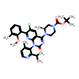 COc1c(C)cccc1-c1nc2c(cc1Cl)c(N1CCN(C(=O)OC(C)(C)C)C[C@@H]1C)nc(=O)n2-c1c(C)ccnc1C(C)C